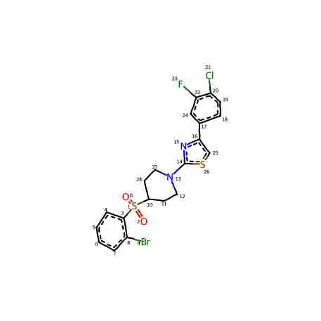 O=S(=O)(c1ccccc1Br)C1CCN(c2nc(-c3ccc(Cl)c(F)c3)cs2)CC1